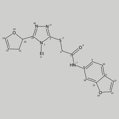 CCn1c(SCC(=O)Nc2ccc3ccoc3c2)nnc1C1CC=CO1